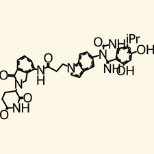 CC(C)c1cc(C(=N)N(C(N)=O)c2ccc3c(ccn3CCC(=O)Nc3cccc4c3CN(C3CCC(=O)NC3=O)C4=O)c2)c(O)cc1O